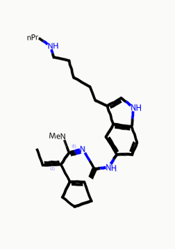 C=C(/N=C(NC)\C(=C/C)C1=CCCC1)Nc1ccc2[nH]cc(CCCCCNCCC)c2c1